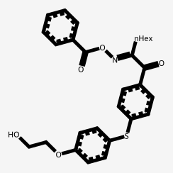 CCCCCC/C(=N\OC(=O)c1ccccc1)C(=O)c1ccc(Sc2ccc(OCCO)cc2)cc1